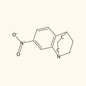 O=[N+]([O-])c1ccc2c(c1)N1CCCC2CC1